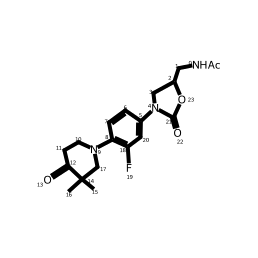 CC(=O)NCC1CN(c2ccc(N3CCC(=O)C(C)(C)C3)c(F)c2)C(=O)O1